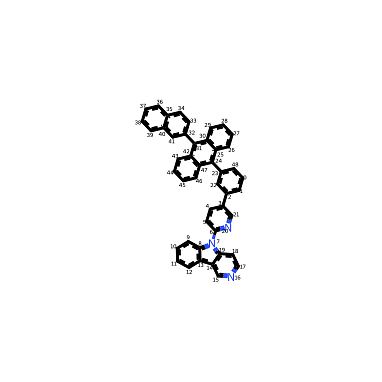 c1cc(-c2ccc(-n3c4ccccc4c4cnccc43)nc2)cc(-c2c3ccccc3c(-c3ccc4ccccc4c3)c3ccccc23)c1